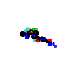 Cl.NC(=O)CCN1CCN(C(=O)C=C2c3ccccc3N(C(=O)c3cnn(-c4ccccc4)c3C(F)(F)F)CCC2(F)F)CC1